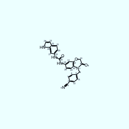 N#Cc1ccc(CN2C(=O)COc3cc(NC(=O)Nc4ccc5cc[nH]c5c4)ccc32)cc1